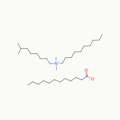 CCCCCCCCCCCC(=O)[O-].CCCCCCCCCC[N+](C)(C)CCCCCCC(C)C